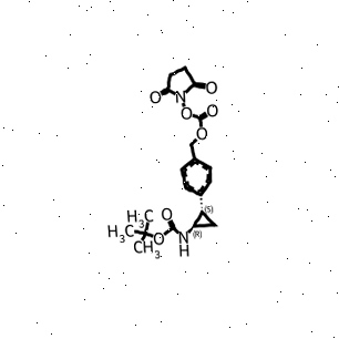 CC(C)(C)OC(=O)N[C@@H]1C[C@H]1c1ccc(COC(=O)ON2C(=O)CCC2=O)cc1